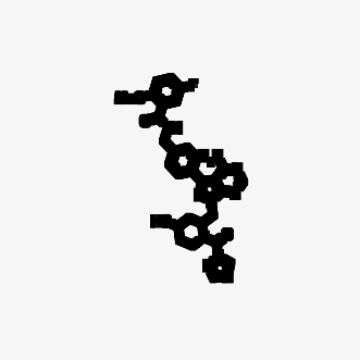 COc1ccc(F)cc1C(=O)NCc1ccc(-c2nn(CC3CC(O)CCN3C(=O)n3cncn3)c3ncnc(N)c23)cc1